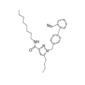 CCCCCCCCNC(=O)c1cc(CCCC)n(Cc2ccc(-c3ccccc3C#N)cc2)n1